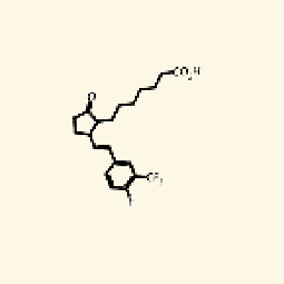 O=C(O)CCCCCCC1C(=O)CCC1/C=C/c1ccc(F)c(C(F)(F)F)c1